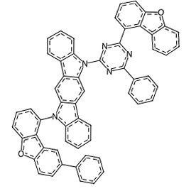 c1ccc(-c2ccc3oc4cccc(-n5c6ccccc6c6cc7c(cc65)c5ccccc5n7-c5nc(-c6ccccc6)nc(-c6cccc7oc8ccccc8c67)n5)c4c3c2)cc1